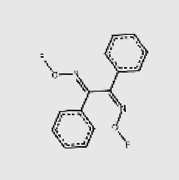 FON=C(C(=NOF)c1ccccc1)c1ccccc1